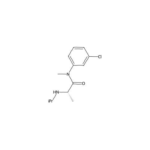 CC(C)N[C@@H](C)C(=O)N(C)c1cccc(Cl)c1